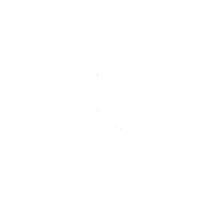 CBc1ccc2ncc(I)n2c1